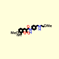 CCCc1c(OC)ccc2cc(C(=O)Nc3ccc(CNCCOC)cc3)c(=O)oc12